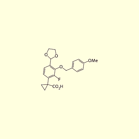 COc1ccc(COc2c(C3OCCO3)ccc(C3(C(=O)O)CC3)c2F)cc1